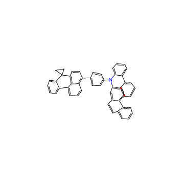 c1ccc(-c2ccccc2N(c2ccc(-c3ccc4c5c(cccc35)-c3ccccc3C43CC3)cc2)c2ccc3c(ccc4ccccc43)c2)cc1